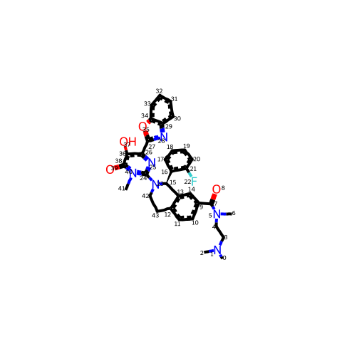 CN(C)CCN(C)C(=O)c1ccc2c(c1)[C@H](c1ccccc1F)N(c1nc(-c3nc4ccccc4o3)c(O)c(=O)n1C)CC2